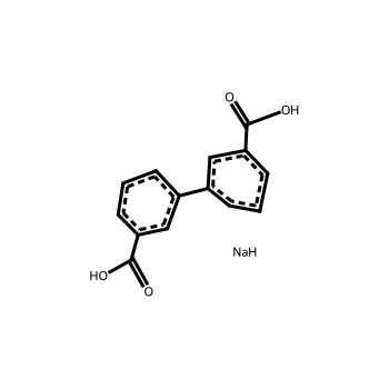 O=C(O)c1cccc(-c2cccc(C(=O)O)c2)c1.[NaH]